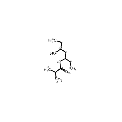 CCC(O)CC(CC)OC(=O)C(C)C